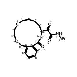 CC(C)NC(=O)C(=O)[C@@H]1CCCCOCCOCc2ccccc2C(=O)N1